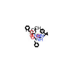 CC(C)C[C@@H](NC(=O)[C@@H](Cc1ccccc1)NC(=O)CNCC1(c2ccccc2)CC1)C(=O)OCc1ccccc1